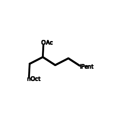 CCCCCCCCCC(CCC(C)CCC)OC(C)=O